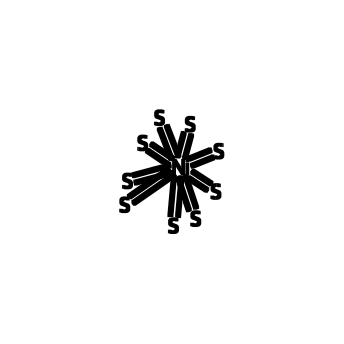 [S]=[Ni](=[S])(=[S])(=[S])(=[S])(=[S])(=[S])(=[S])=[S]